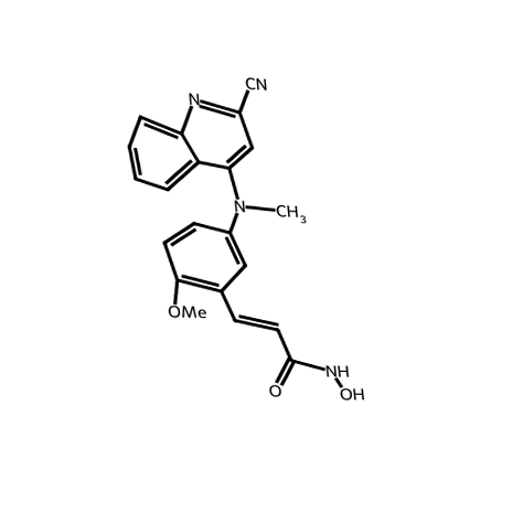 COc1ccc(N(C)c2cc(C#N)nc3ccccc23)cc1C=CC(=O)NO